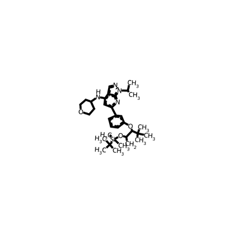 [CH2]C(O[Si](C)(C)C(C)(C)C)C(Oc1cccc(-c2cc(NC3CCOCC3)c3cnn(C(C)C)c3n2)c1)C(C)(C)C